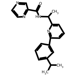 CC(C)c1cccc(-c2cccc(C(C)NC(=O)c3cnccn3)n2)c1